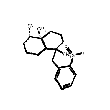 CC1(Cc2ccccc2[N+](=O)[O-])CCC[C@@]2(C)C1CCC[C@@H]2O